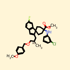 COC(=O)C1(Nc2cccc(Cl)c2)CCC2(CC1)C(C[C@@H](C)COCc1ccc(OC)cc1)=Cc1ccc(F)cc12